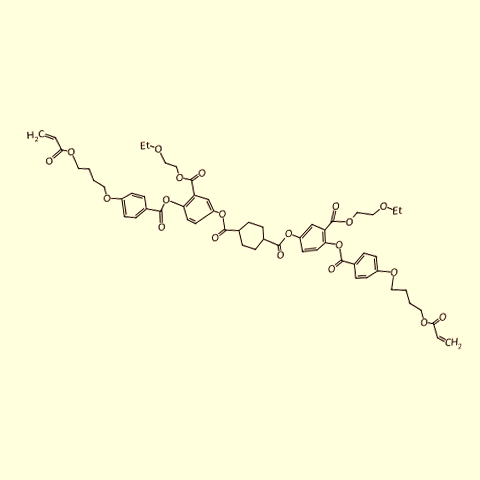 C=CC(=O)OCCCCOc1ccc(C(=O)Oc2ccc(OC(=O)C3CCC(C(=O)Oc4ccc(OC(=O)c5ccc(OCCCCOC(=O)C=C)cc5)c(C(=O)OCCOCC)c4)CC3)cc2C(=O)OCCOCC)cc1